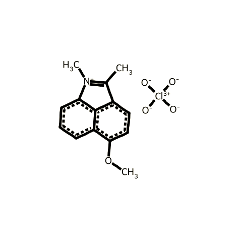 COc1ccc2c3c(cccc13)[N+](C)=C2C.[O-][Cl+3]([O-])([O-])[O-]